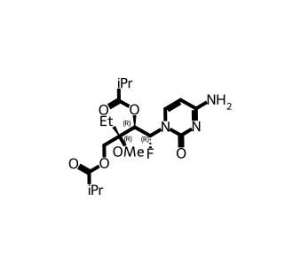 CC[C@](COC(=O)C(C)C)(OC)[C@@H](OC(=O)C(C)C)[C@@H](F)n1ccc(N)nc1=O